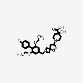 CCOc1cc(CN2CC3(CC(N4CCC(O)(C(=O)O)CC4)=NO3)C2)cc(OCC)c1-c1ccc(F)cc1